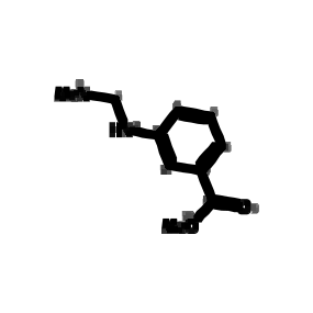 CNCNc1cccc(C(=O)OC)c1